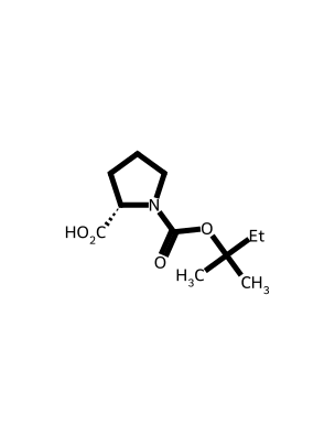 CCC(C)(C)OC(=O)N1CCC[C@H]1C(=O)O